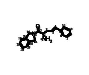 NC(CC=Cc1ccccc1)C(=O)N1Cc2ccccc2C1